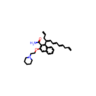 C=CC/C=C/C=C/C=C(/CC=C)c1c(C(N)=O)c(OCCN2CCCCC2)cc2ccccc12